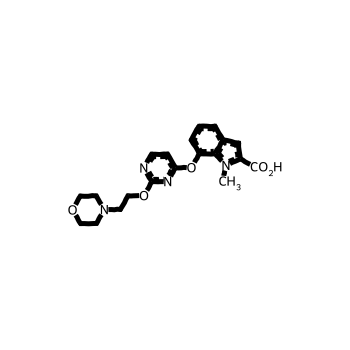 Cn1c(C(=O)O)cc2cccc(Oc3ccnc(OCCN4CCOCC4)n3)c21